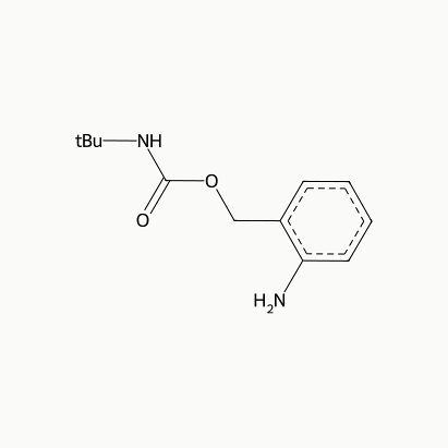 CC(C)(C)NC(=O)OCc1ccccc1N